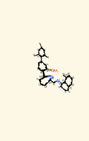 Cc1cc(C)c(-c2ccc(-c3cccc(/C=N/c4cccc5cccc(C)c45)n3)c(O)c2)c(C)c1